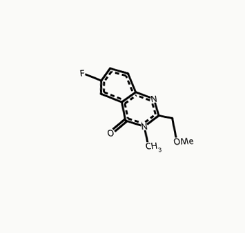 COCc1nc2ccc(F)cc2c(=O)n1C